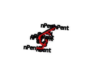 CCCCCC(CCCCC)CCOC(=O)CCCCCCCC1(CCCCCCCC(=O)OCCC(CCCCC)CC(CCC)C(CCC)CC(CCCCC)CC(=O)OCCCCCCCCCC(CCCCCCCCCOC(=O)CC(CCCCC)CCCCC)OC(=O)CCCN(C)C)OCC(CCN2CCN(C)CC2)O1